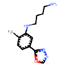 NCCCCNc1cc(-c2nnco2)ccc1C(F)(F)F